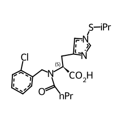 CCCC(=O)N(Cc1ccccc1Cl)[C@@H](Cc1cn(SC(C)C)cn1)C(=O)O